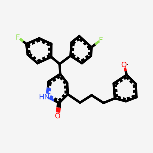 [O]c1cccc(CCCc2cc(C(c3ccc(F)cc3)c3ccc(F)cc3)c[nH]c2=O)c1